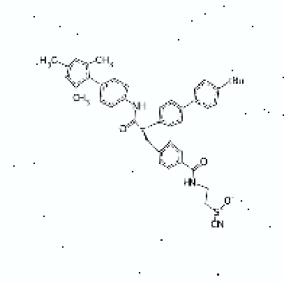 Cc1cc(C)c(-c2ccc(NC(=O)[C@H](Cc3ccc(C(=O)NCC[S+]([O-])C#N)cc3)c3ccc(-c4ccc(C(C)(C)C)cc4)cc3)cc2)c(C)c1